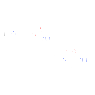 CCN1CC(COC(=O)NCc2ccc3c(c2)C(=O)N(C2CCC(=O)NC2=O)C3)C1